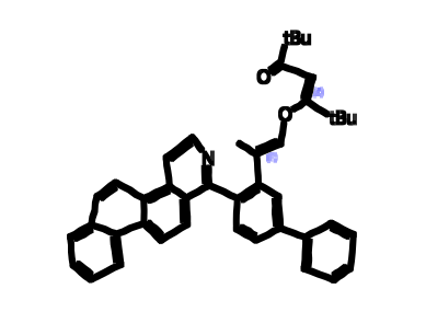 C/C(=C\O/C(=C\C(=O)C(C)(C)C)C(C)(C)C)c1cc(-c2ccccc2)ccc1-c1nccc2c1ccc1c3ccccc3ccc21